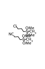 CO[Si](C)(CCCC#N)OC.CO[Si](C)(CCCCl)OC